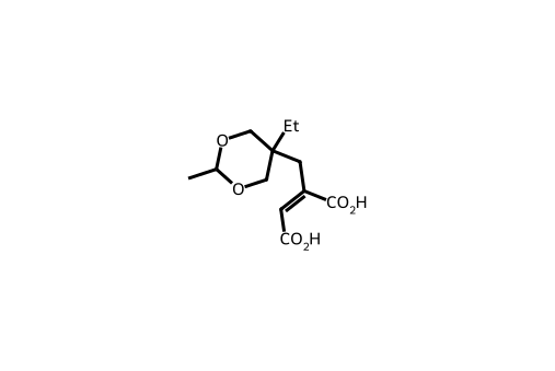 CCC1(CC(=CC(=O)O)C(=O)O)COC(C)OC1